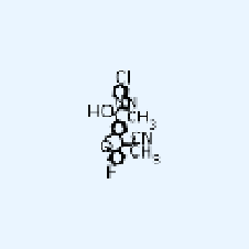 C/C(C#N)=C1/c2ccc(C(O)c3c(C)nc4cc(Cl)ccn34)cc2COc2cc(F)ccc21